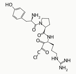 N=C(N)NCCC[C@H](NC(=O)[C@@H]1CCCN1C(=O)[C@H](N)Cc1ccc(O)cc1)C(=O)C(=O)CCl